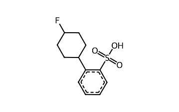 O=S(=O)(O)c1ccccc1C1CCC(F)CC1